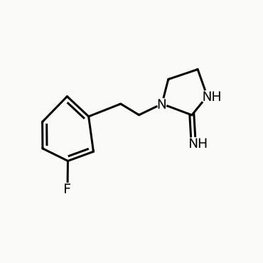 N=C1NCCN1CCc1cccc(F)c1